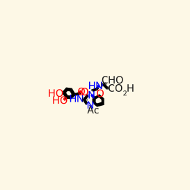 CC(=O)N1C[C@H](NC(=O)c2ccc(O)c(O)c2)C(=O)N(CC(=O)N[C@H](C=O)CC(=O)O)C2=C1C=CCC2